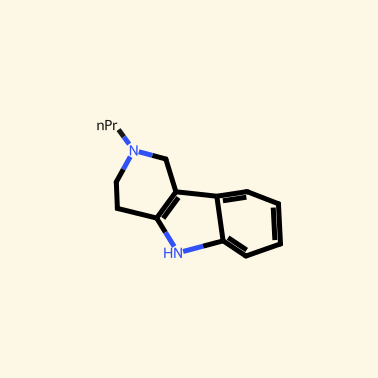 CCCN1CCc2[nH]c3ccccc3c2C1